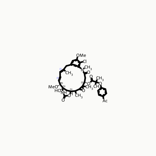 COc1cc2cc(c1Cl)N(C)C(=O)C[C@H](OC(=O)C(C)(C)Oc1ccc(C(C)=O)cc1)C1(C)OC1C(C)[C@@H]1C[C@@](O)(NC(=O)O1)[C@H](OC)/C=C/C=C(\C)C2